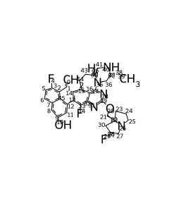 C=Cc1c(F)ccc2cc(O)cc(-c3cc4c5c(nc(OC[C@@]67CCCN6C[C@H](F)C7)nc5c3F)N3C[C@@H](CC)NC[C@H]3CC4)c12